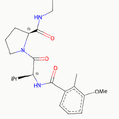 COc1cccc(C(=O)N[C@H](C(=O)N2CCC[C@H]2C(=O)NCC=O)C(C)C)c1C